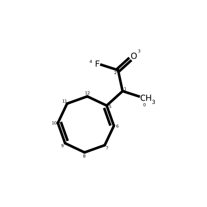 CC(C(=O)F)/C1=C/CC/C=C\CC1